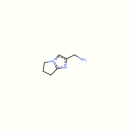 NCc1cn2c(n1)CCC2